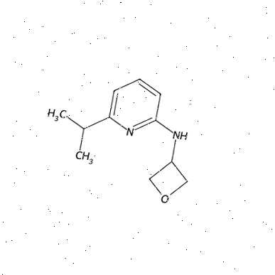 CC(C)c1cccc(NC2COC2)n1